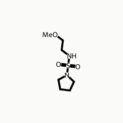 COCCNS(=O)(=O)N1CCCC1